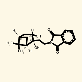 CC1(C)[C@@H]2C[C@H]1[C@](O)(CCN1C(=O)c3ccccc3C1=O)[C@@H](O)C2